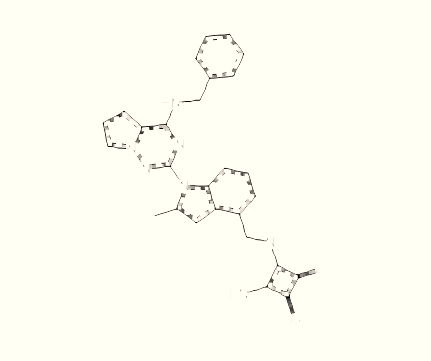 Cc1cc2c(CNc3c(N)c(=O)c3=O)cccc2n1-c1nc(NCc2ccccc2)c2cccn2n1